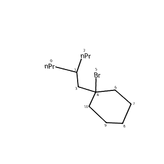 CCCC(CCC)CC1(Br)CCCCC1